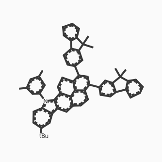 Cc1cc(C)cc(-n2c3ccc(C(C)(C)C)cc3c3cc4ccc5c(-c6ccc7c(c6)C(C)(C)c6ccccc6-7)cc(-c6ccc7c(c6)C(C)(C)c6ccccc6-7)c6ccc(c4c56)c32)c1